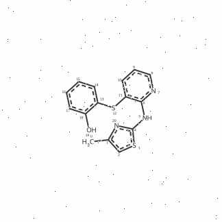 Cc1csc(Nc2ncccc2Sc2ccccc2O)n1